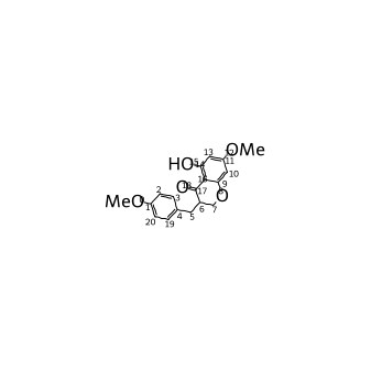 COc1ccc(CC2COc3cc(OC)cc(O)c3C2=O)cc1